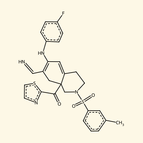 Cc1cccc(S(=O)(=O)N2CCC3=CC(Nc4ccc(F)cc4)=C(C=N)CC3(C(=O)c3nccs3)C2)c1